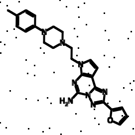 Cc1ccc(N2CCN(CCn3ccc4c3nc(N)n3nc(-c5ccco5)nc43)CC2)cc1